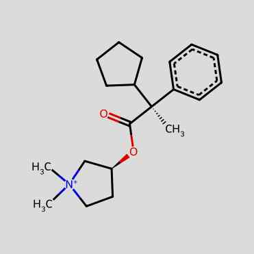 C[C@@](C(=O)O[C@H]1CC[N+](C)(C)C1)(c1ccccc1)C1CCCC1